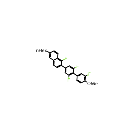 CCCCCCc1ccc2c(F)c(-c3cc(F)c(-c4ccc(OC)c(F)c4)c(F)c3)ccc2c1